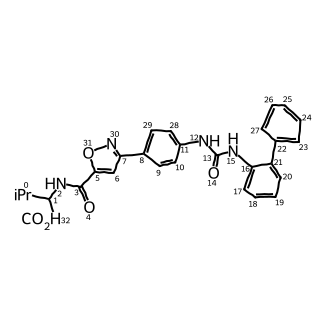 CC(C)C(NC(=O)c1cc(-c2ccc(NC(=O)Nc3ccccc3-c3ccccc3)cc2)no1)C(=O)O